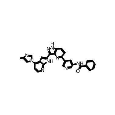 Cc1cn(-c2ccnc3[nH]c(-c4n[nH]c5ccc(-c6cncc(NC(=O)c7ccccc7)c6)nc45)cc23)cn1